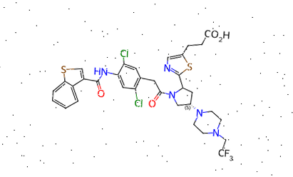 O=C(O)CCc1cnc(C2C[C@H](N3CCN(CC(F)(F)F)CC3)CN2C(=O)Cc2cc(Cl)c(NC(=O)c3csc4ccccc34)cc2Cl)s1